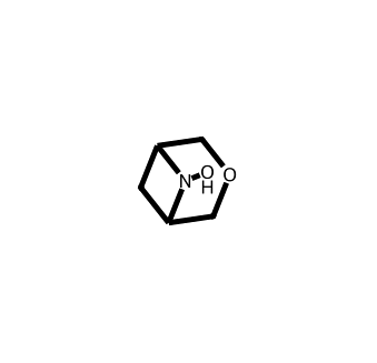 ON1C2COCC1C2